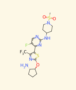 CS(=O)(=O)N1CCC(Nc2ncc(F)c(-c3sc(O[C@H]4CCC[C@@H]4N)nc3C(F)(F)F)n2)CC1